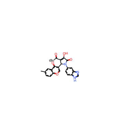 Cc1ccc2occ(C3C(C(=O)C(C)(C)C)=C(O)C(=O)N3c3ccc4[nH]cnc4c3)c(=O)c2c1